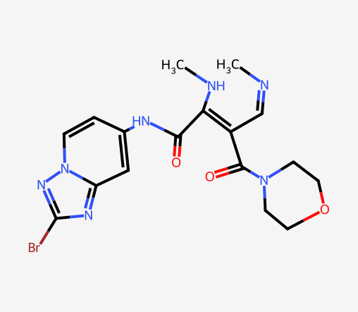 C/N=C\C(C(=O)N1CCOCC1)=C(/NC)C(=O)Nc1ccn2nc(Br)nc2c1